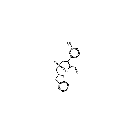 Nc1cccc(C(CS(=O)(=O)CC2Cc3ccccc3C2)N(O)C=O)c1